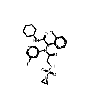 O=C(NC1CCCCC1)[C@@H](c1ccccc1Cl)N(C(=O)CNS(=O)(=O)N1CC1)c1cncc(F)c1